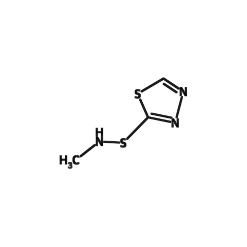 CNSc1nncs1